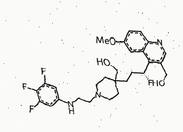 COc1ccc2ncc(CO)c([C@H](F)CCC3(CO)CCN(CCNc4cc(F)c(F)c(F)c4)CC3)c2c1